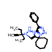 C#CC(CC)(CC)N1C=C(C2(n3cc(-c4ccccc4)nn3)CCCCCCC2)NN1